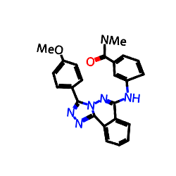 CNC(=O)c1cccc(Nc2nn3c(-c4ccc(OC)cc4)nnc3c3ccccc23)c1